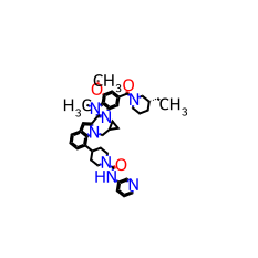 CC[C@@H]1CCCN(C(=O)c2cc(OC)c3c(c2)nc(-c2cc4cccc(C5CCN(C(=O)Nc6cccnc6)CC5)c4n2CC2CC2)n3C)C1